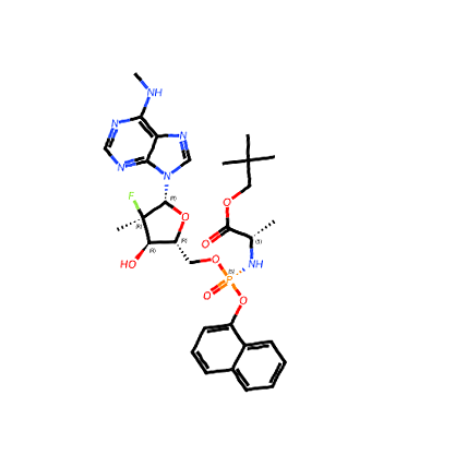 CNc1ncnc2c1ncn2[C@@H]1O[C@H](CO[P@@](=O)(N[C@@H](C)C(=O)OCC(C)(C)C)Oc2cccc3ccccc23)[C@@H](O)[C@@]1(C)F